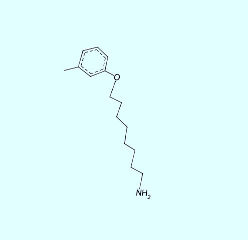 Cc1cccc(OCCCCCCCCN)c1